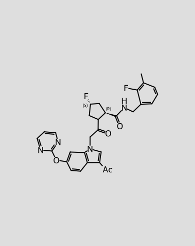 CC(=O)c1cn(CC(=O)C2C[C@H](F)C[C@H]2C(=O)NCc2cccc(C)c2F)c2cc(Oc3ncccn3)ccc12